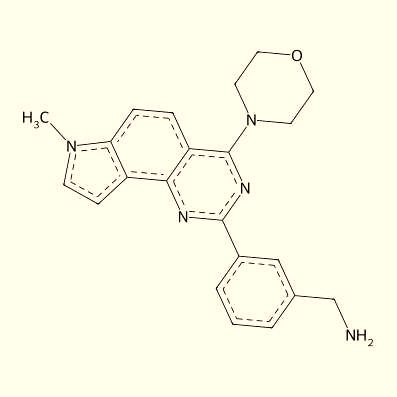 Cn1ccc2c3nc(-c4cccc(CN)c4)nc(N4CCOCC4)c3ccc21